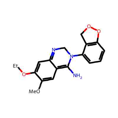 CCOc1cc2c(cc1OC)=C(N)N(c1cccc3c1COO3)CN=2